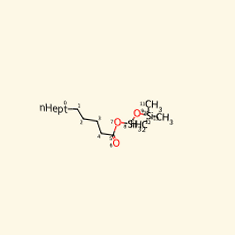 CCCCCCCCCCCC(=O)O[SiH2]O[Si](C)(C)C